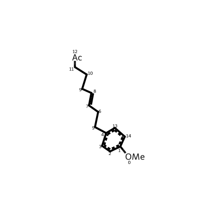 COc1ccc(CCC=CCCCC(C)=O)cc1